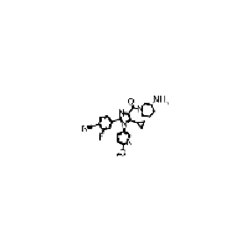 COc1ccc(-n2c(-c3ccc(C#N)c(F)c3)nc(C(=O)N3CCC[C@@H](N)C3)c2C2CC2)cn1